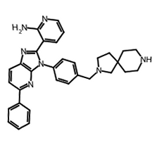 Nc1ncccc1-c1nc2ccc(-c3ccccc3)nc2n1-c1ccc(CN2CCC3(CCNCC3)C2)cc1